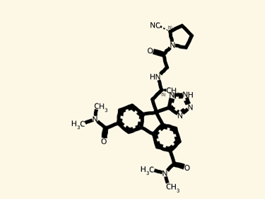 C[C@@H](CC1(c2nn[nH]n2)c2ccc(C(=O)N(C)C)cc2-c2cc(C(=O)N(C)C)ccc21)NCC(=O)N1CCC[C@H]1C#N